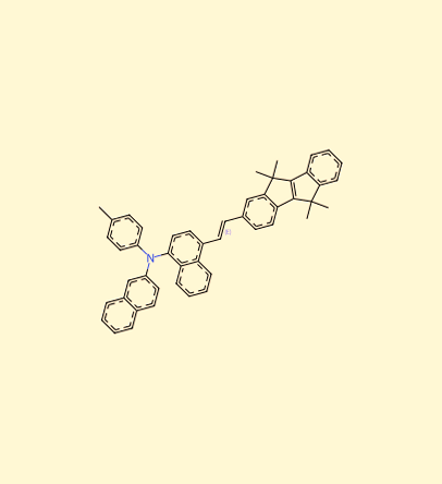 Cc1ccc(N(c2ccc3ccccc3c2)c2ccc(/C=C/c3ccc4c(c3)C(C)(C)C3=C4C(C)(C)c4ccccc43)c3ccccc23)cc1